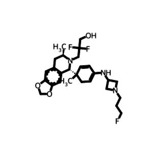 C[C@@H]1Cc2cc3c(cc2[C@@H](C2(C)C=CC(NC4CN(CCCF)C4)=CC2)N1CC(F)(F)CO)OCO3